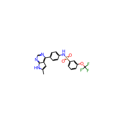 Cc1cc2c(-c3ccc(NS(=O)(=O)c4cccc(OC(F)(F)F)c4)cc3)ncnc2[nH]1